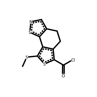 CSc1sc(C(=O)Cl)c2c1-c1sncc1CC2